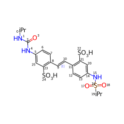 CC(C)NC(=O)Nc1ccc(/C=C/c2ccc(NS(=O)(=O)C(C)C)cc2S(=O)(=O)O)c(S(=O)(=O)O)c1